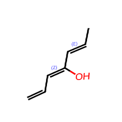 C=C/C=C(O)/C=C/C